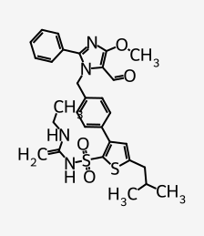 C=C(NCC)NS(=O)(=O)c1sc(CC(C)C)cc1-c1ccc(Cn2c(-c3ccccc3)nc(OC)c2C=O)cc1